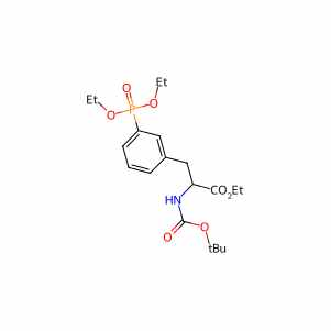 CCOC(=O)C(Cc1cccc(P(=O)(OCC)OCC)c1)NC(=O)OC(C)(C)C